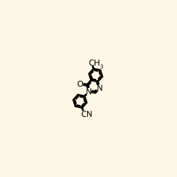 Cc1ccc2ncn(-c3cccc(C#N)c3)c(=O)c2c1